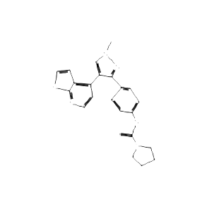 CCn1cc(-c2ccnc3[nH]ccc23)c(-c2ccc(NC(=O)N3CCCC3)cc2)n1